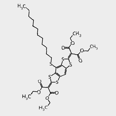 CCCCCCCCCCCCSc1c2c(cc3c1SC(=C(C(=O)OCC)C(=O)OCC)S3)SC(=C(C(=O)OCC)C(=O)OCC)S2